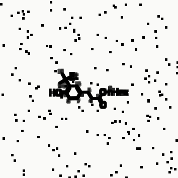 CCCCCCOC(=O)CCc1ccc(O)c(C(C)(C)CC)c1